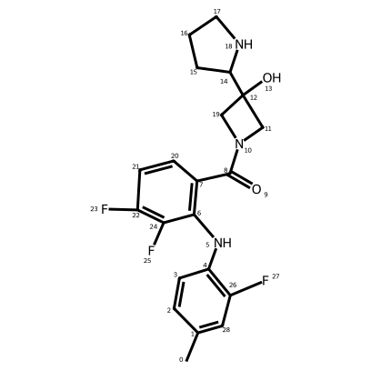 Cc1ccc(Nc2c(C(=O)N3CC(O)(C4CCCN4)C3)ccc(F)c2F)c(F)c1